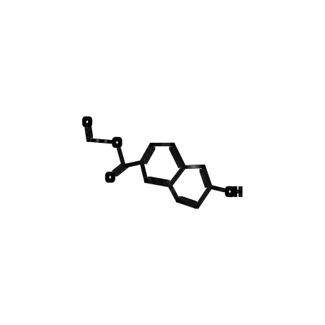 O=COC(=O)c1ccc2cc(O)ccc2c1